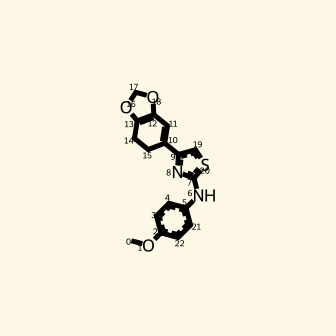 COc1ccc(Nc2nc(C3=CC4=C(CC3)OCO4)cs2)cc1